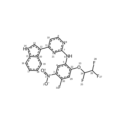 O=[N+]([O-])c1cc(Nc2nccc(-c3c[nH]c4ccccc34)n2)c(OC(F)C(F)F)cc1F